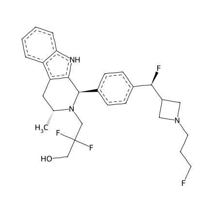 C[C@@H]1Cc2c([nH]c3ccccc23)[C@@H](c2ccc([C@@H](F)C3CN(CCCF)C3)cc2)N1CC(F)(F)CO